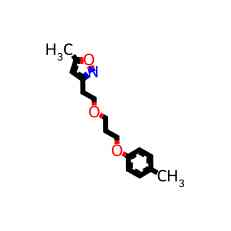 Cc1ccc(OCCCOCCc2cc(C)on2)cc1